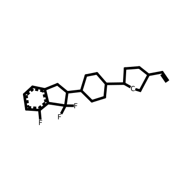 C=CC1CCC(C2CCC(C3Cc4cccc(F)c4C3(F)F)CC2)CC1